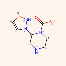 O=C(O)N1CCNCC1N1C=CON1